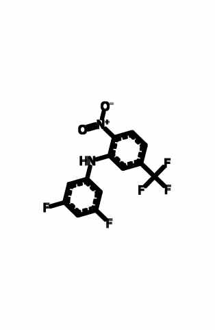 O=[N+]([O-])c1ccc(C(F)(F)F)cc1Nc1cc(F)cc(F)c1